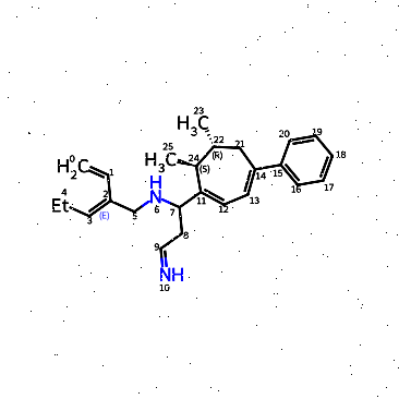 C=C/C(=C\CC)CNC(CC=N)C1=CC=C(c2ccccc2)C[C@@H](C)[C@@H]1C